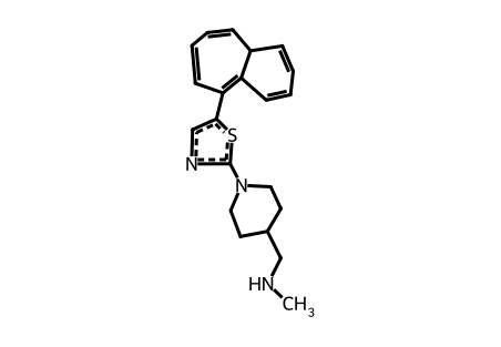 CNCC1CCN(c2ncc(C3=C4C=CC=CC4C=CC=C3)s2)CC1